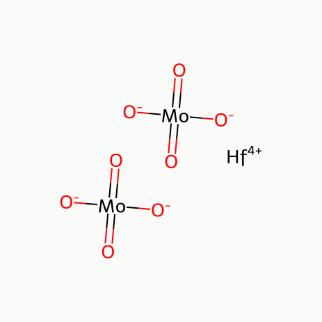 [Hf+4].[O]=[Mo](=[O])([O-])[O-].[O]=[Mo](=[O])([O-])[O-]